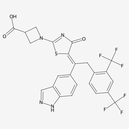 O=C1N=C(N2CC(C(=O)O)C2)SC1=C(Cc1ccc(C(F)(F)F)cc1C(F)(F)F)c1ccc2[nH]ncc2c1